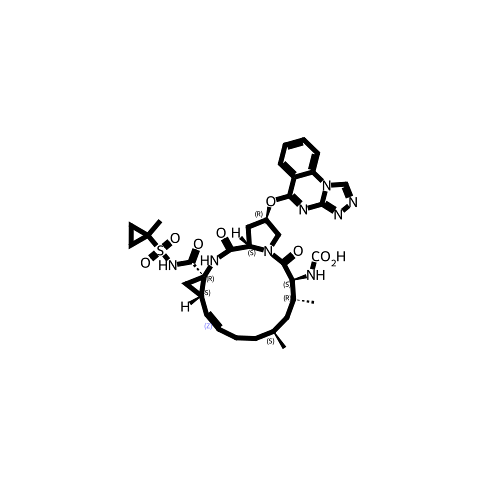 C[C@H]1CC/C=C\[C@@H]2C[C@@]2(C(=O)NS(=O)(=O)C2(C)CC2)NC(=O)[C@@H]2C[C@@H](Oc3nc4nncn4c4ccccc34)CN2C(=O)[C@@H](NC(=O)O)[C@H](C)C1